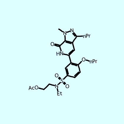 CCCOc1ccc(S(=O)(=O)N(CC)CCOC(C)=O)cc1-c1cc2c(CCC)nn(C)c2c(=O)[nH]1